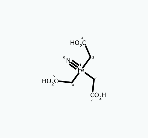 [N]#[Fe]([CH2]C(=O)O)([CH2]C(=O)O)[CH2]C(=O)O